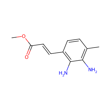 COC(=O)/C=C/c1ccc(C)c(N)c1N